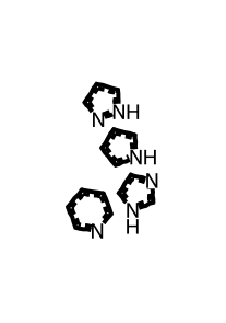 c1c[nH]cn1.c1cc[nH]c1.c1ccncc1.c1cn[nH]c1